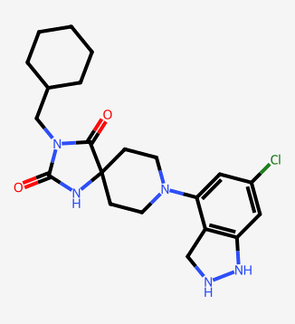 O=C1NC2(CCN(c3cc(Cl)cc4c3CNN4)CC2)C(=O)N1CC1CCCCC1